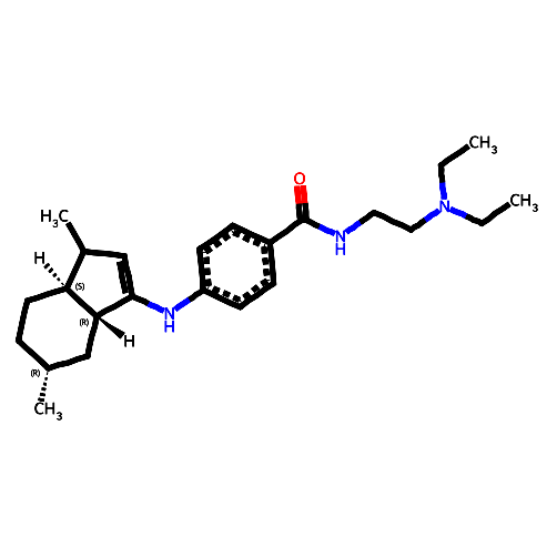 CCN(CC)CCNC(=O)c1ccc(NC2=CC(C)[C@@H]3CC[C@@H](C)C[C@@H]23)cc1